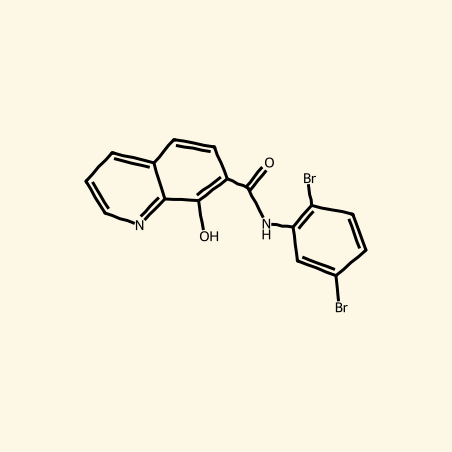 O=C(Nc1cc(Br)ccc1Br)c1ccc2cccnc2c1O